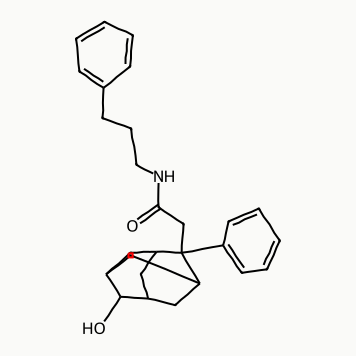 O=C(CC1(c2ccccc2)C2CC3CC1CC(C2)C3O)NCCCc1ccccc1